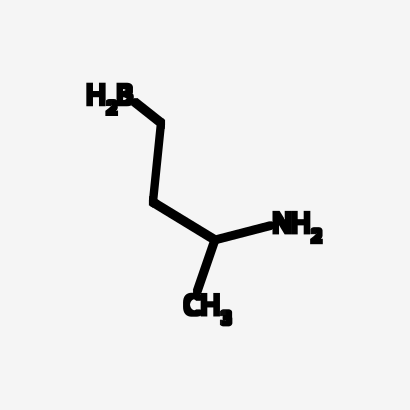 BCCC(C)N